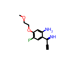 C#CC(=N)c1cc(F)c(OCCOC)cc1N